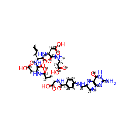 C=CC[C@H](NC(=O)[C@H](CC(=O)O)NC(=O)CC[C@H](NC(=O)c1ccc(NCc2cnc3nc(N)[nH]c(=O)c3n2)cc1)C(=O)O)C(=O)N[C@@H](CC(=O)O)C(=O)N[C@H](C)CC(=O)O